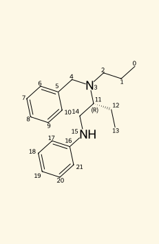 CCCN(Cc1ccccc1)[C@H](CC)CNc1ccccc1